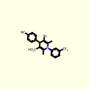 CC(=O)C1=C(C)N(c2cccc(C(F)(F)F)c2)C(C)=C(C(=O)O)C1c1ccc(C#N)cc1